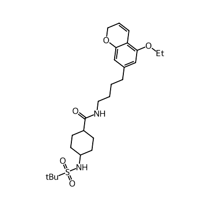 CCOc1cc(CCCCNC(=O)C2CCC(NS(=O)(=O)C(C)(C)C)CC2)cc2c1C=CCO2